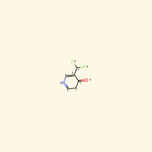 O=C1CC=NC=C1C(F)F